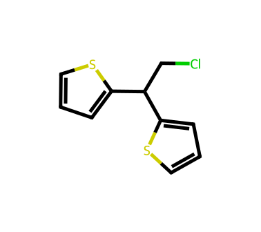 ClCC(c1cccs1)c1cccs1